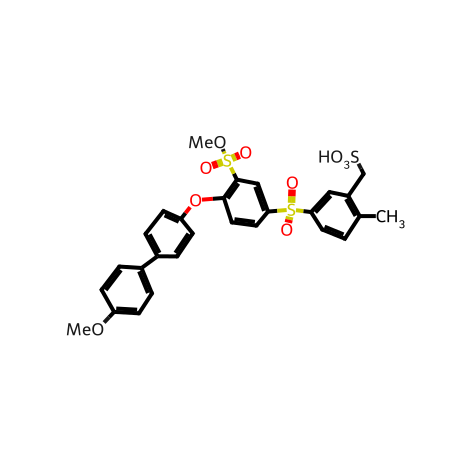 COc1ccc(-c2ccc(Oc3ccc(S(=O)(=O)c4ccc(C)c(CS(=O)(=O)O)c4)cc3S(=O)(=O)OC)cc2)cc1